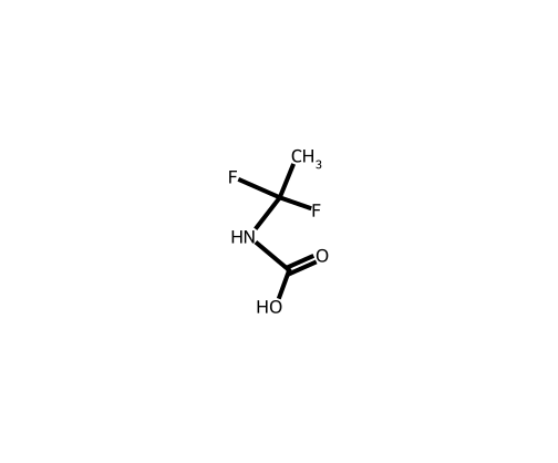 CC(F)(F)NC(=O)O